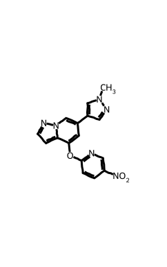 Cn1cc(-c2cc(Oc3ccc([N+](=O)[O-])cn3)c3ccnn3c2)cn1